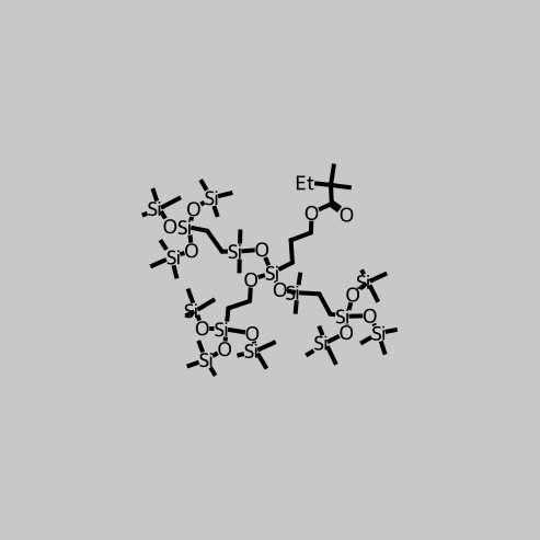 CCC(C)(C)C(=O)OCCC[Si](OCC[Si](O[Si](C)(C)C)(O[Si](C)(C)C)O[Si](C)(C)C)(O[Si](C)(C)CC[Si](O[Si](C)(C)C)(O[Si](C)(C)C)O[Si](C)(C)C)O[Si](C)(C)CC[Si](O[Si](C)(C)C)(O[Si](C)(C)C)O[Si](C)(C)C